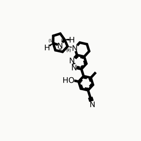 Cc1cc(C#N)cc(O)c1-c1cc2c(nn1)N([C@@H]1CC[C@@H]3CC[C@H]1N3C)CCC2